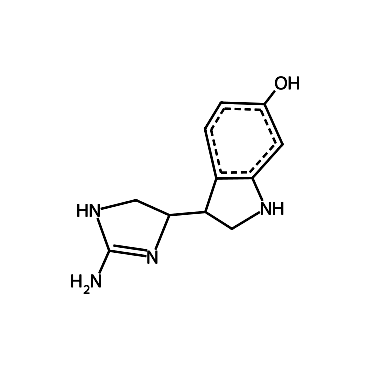 NC1=NC(C2CNc3cc(O)ccc32)CN1